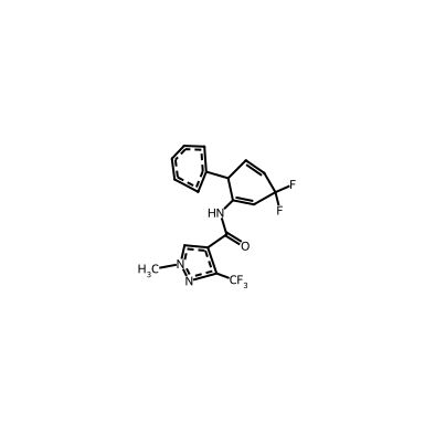 Cn1cc(C(=O)NC2=CC(F)(F)C=CC2c2ccccc2)c(C(F)(F)F)n1